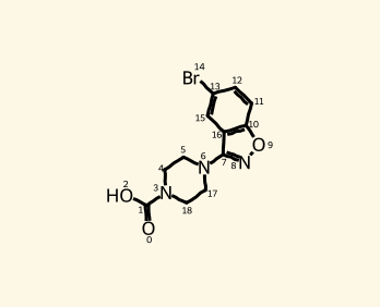 O=C(O)N1CCN(c2noc3ccc(Br)cc23)CC1